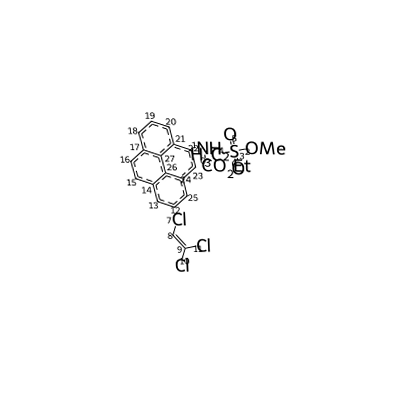 CCOC(N)=O.COS(C)(=O)=O.ClC=C(Cl)Cl.c1cc2ccc3cccc4ccc(c1)c2c34